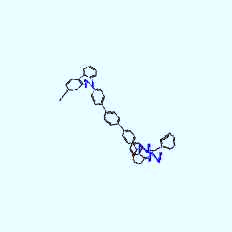 CC1C=Cc2c(n(-c3ccc(-c4ccc(-c5ccc(C6=C/CC/C(c7ccccc7)=N/C(c7ccccc7)=N\6)cc5)cc4)cc3)c3ccccc23)C1